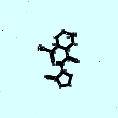 O=C(N[C@H]1CCCC1=O)C1CNCCN1C(=O)O